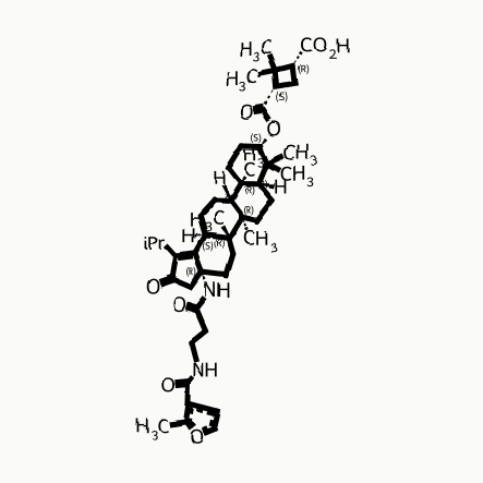 Cc1occc1C(=O)NCCC(=O)N[C@@]12CC[C@]3(C)[C@H](CC[C@@H]4[C@@]5(C)CC[C@H](OC(=O)[C@H]6C[C@@H](C(=O)O)C6(C)C)C(C)(C)[C@@H]5CC[C@]43C)C1=C(C(C)C)C(=O)C2